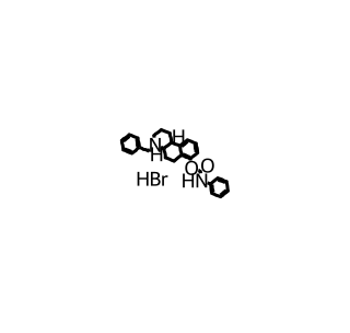 Br.O=C(Nc1ccccc1)Oc1cccc2c1CC[C@@H]1[C@@H]2CCCN1Cc1ccccc1